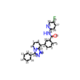 Cc1ccc(-c2cccn3c(-c4ccccc4)nnc23)cc1C(=O)Nc1ccc(F)cn1